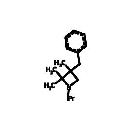 CC(C)N1CC(C)(Cc2ccccc2)C1(C)C